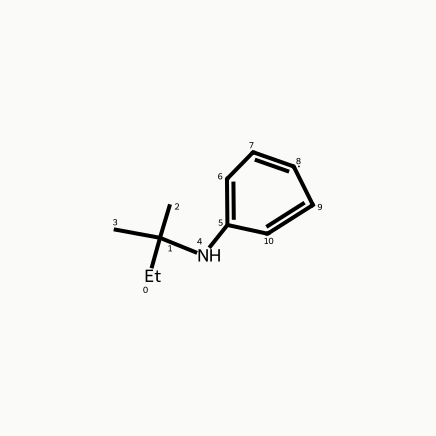 CCC(C)(C)Nc1cc[c]cc1